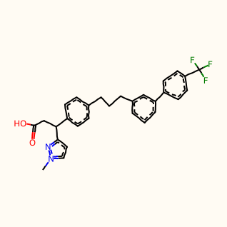 Cn1ccc(C(CC(=O)O)c2ccc(CCCc3cccc(-c4ccc(C(F)(F)F)cc4)c3)cc2)n1